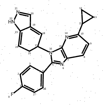 Fc1ccc(-c2nc3ccc(C4CC4)nc3n2C2C=c3cn[nH]c3=CC2)cc1